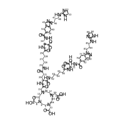 O=C(O)CN1CCN(CC(=O)O)CCN(CC(=O)NC(CCC(=O)NCCCCCC(=O)N[C@H](CNC(=O)c2ccc3c(cnn3CCCNc3ncc[nH]3)c2)C(=O)O)C(=O)NCCCCCC(=O)N[C@@H](CNC(=O)c2ccc3c(cnn3CCCNc3ncc[nH]3)c2)C(=O)O)CCN(CC(=O)O)CC1